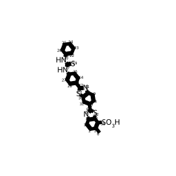 Cc1ccc2nc(-c3ccc4nc(-c5ccc(NC(=S)Nc6ccccc6)cc5)sc4c3)sc2c1S(=O)(=O)O